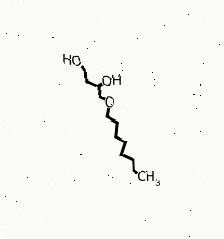 CCCCCCCCOCC(O)CCO